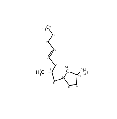 CCCC=CCC(C)CC1CCC(C)O1